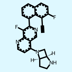 C#Cc1c(F)ccc2cccc(-c3ncc4c(N5C[C@H]6NCC[C@H]65)ccnc4c3F)c12